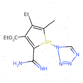 CCOC(=O)C1=C(C(=N)N)[SH](n2cnnn2)C(C)=C1CC